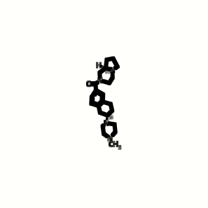 CN1CCN([C@H]2CCc3cc(C(=O)N4CCN5CCC[C@@H]5C4)ccc3C2)CC1